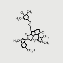 Cc1cc(OCCCc2c3n(c4c(-c5c(C)nn(C)c5C)c(Cl)ccc24)C(C)CN(c2cn(C)c4ccc(C(=O)O)cc24)C3=O)cc(C)c1Cl